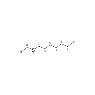 CCCCCCCSCC